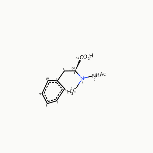 CC(=O)NN(C)[C@@H](Cc1ccccc1)C(=O)O